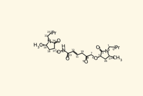 CC(C)CN1C(=O)[C@H](OCC(=O)C/C=C/C(=O)NO[C@@H]2CC(C)N(CC(C)C)C2=O)CC1C